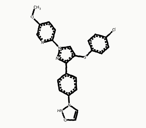 COc1ccc(-n2cc(Sc3ccc(Cl)cc3)c(-c3ccc(N4C=CON4)cc3)n2)nc1